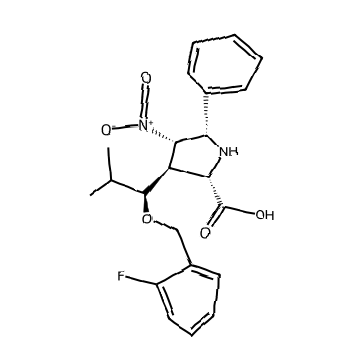 CC(C)[C@H](OCc1ccccc1F)[C@H]1[C@H]([N+](=O)[O-])[C@H](c2ccccc2)N[C@@H]1C(=O)O